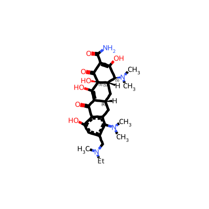 CCN(C)Cc1cc(O)c2c(c1N(C)C)C[C@H]1C[C@H]3[C@H](N(C)C)C(O)=C(C(N)=O)C(=O)[C@@]3(O)C(O)=C1C2=O